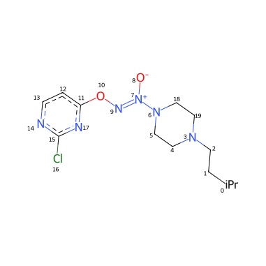 CC(C)CCN1CCN(/[N+]([O-])=N/Oc2ccnc(Cl)n2)CC1